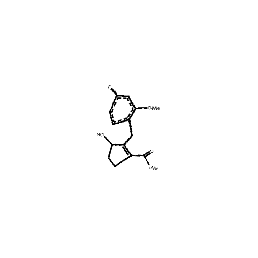 COC(=O)C1=C(Cc2ccc(F)cc2OC)C(O)CC1